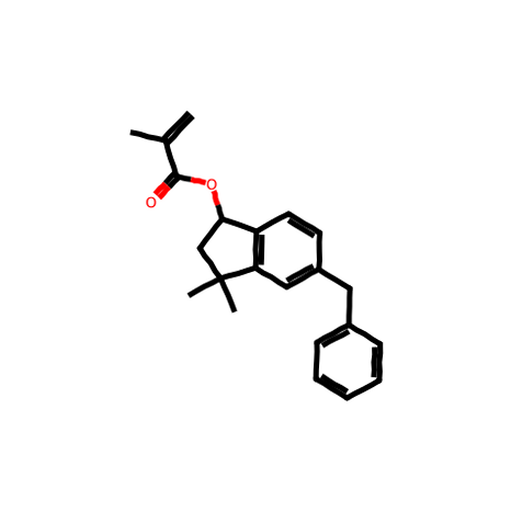 C=C(C)C(=O)OC1CC(C)(C)c2cc(Cc3ccccc3)ccc21